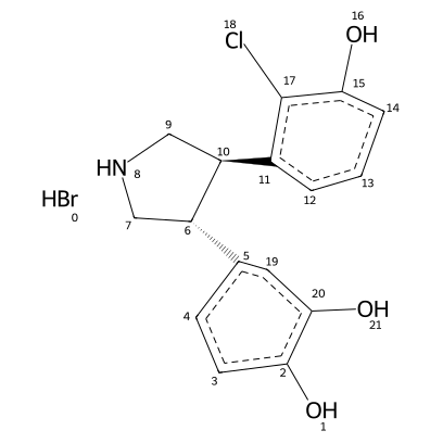 Br.Oc1ccc([C@@H]2CNC[C@H]2c2cccc(O)c2Cl)cc1O